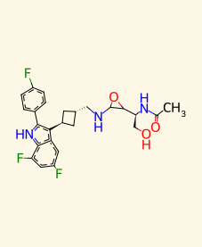 CC(=O)N[C@@H](CO)C1OC1NC[C@H]1C[C@H](c2c(-c3ccc(F)cc3)[nH]c3c(F)cc(F)cc32)C1